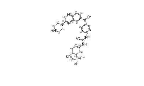 O=C(Nc1ccc(C(=O)c2ccc3ncc(N4CCNCC4)nc3c2)cc1)Nc1ccc(Cl)c(C(F)(F)F)c1